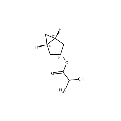 CC(C)C(=O)O[C@@H]1C[C@@H]2C[C@@H]2C1